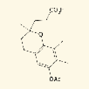 CC(=O)Oc1cc2c(c(C)c1C)OC(C)(CCC(=O)O)CC2